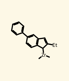 CCC1=Cc2cc(-c3ccccc3)ccc2[CH]1[Zr]([CH3])[CH3]